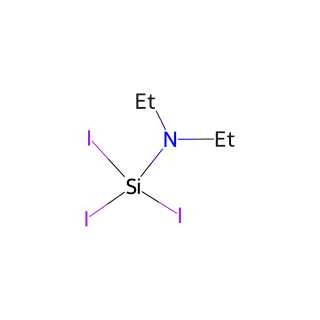 CCN(CC)[Si](I)(I)I